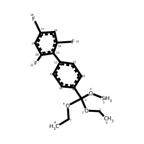 CCOC(O[SiH3])(OCC)c1ccc(-c2c(F)cc(F)cc2F)cc1